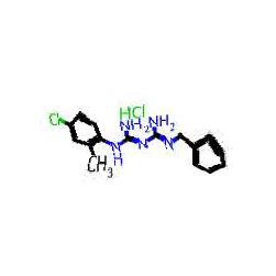 Cc1cc(Cl)ccc1N/C(N)=N/C(N)=N/Cc1ccccc1.Cl